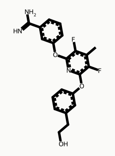 Cc1c(F)c(Oc2cccc(CCO)c2)nc(Oc2cccc(C(=N)N)c2)c1F